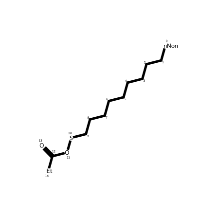 CCCCCCCCCCCCCCCCCCSOC(=O)CC